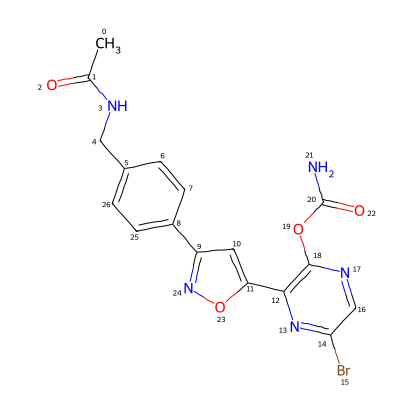 CC(=O)NCc1ccc(-c2cc(-c3nc(Br)cnc3OC(N)=O)on2)cc1